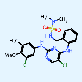 COc1c(C)cc(Nc2ncc(Cl)c(Nc3ccccc3CNS(=O)(=O)N(C)C)n2)cc1Cl